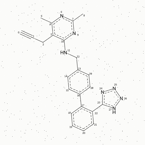 C#CCc1c(C)nc(C)nc1NCc1ccc(-c2ccccc2-c2nnn[nH]2)cc1